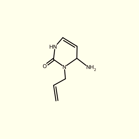 C=CCN1C(=O)NC=CC1N